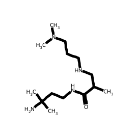 CC(CNCCCN(C)C)C(=O)NCCC(C)(C)N